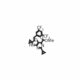 COC(=O)c1nc(C2CC2)nc(NC2(/C=C/c3cc(C(F)(F)F)cc(C(F)(F)F)c3)CC2)c1Cl